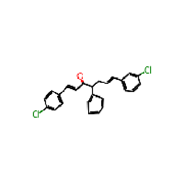 O=C(/C=C/c1ccc(Cl)cc1)C(C/C=C/c1cccc(Cl)c1)c1ccccc1